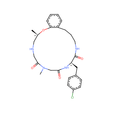 C[C@@H]1CNCC(=O)N(C)CC(=O)N[C@H](Cc2ccc(Cl)cc2)C(=O)NCCCc2ccccc2O1